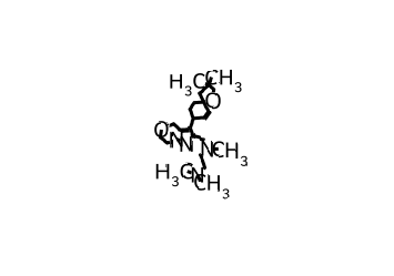 CN(C)CCN(C)Cc1nn2c(c1C1CCC3(CC1)CC(C)(C)CO3)COCC2